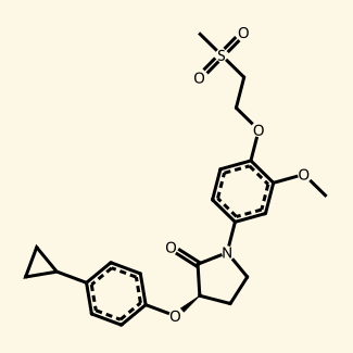 COc1cc(N2CC[C@@H](Oc3ccc(C4CC4)cc3)C2=O)ccc1OCCS(C)(=O)=O